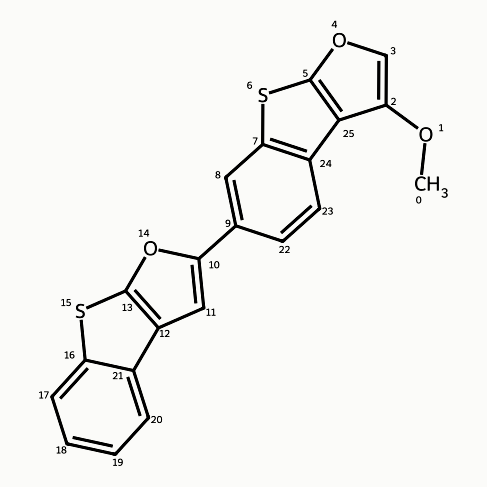 COc1coc2sc3cc(-c4cc5c(o4)sc4ccccc45)ccc3c12